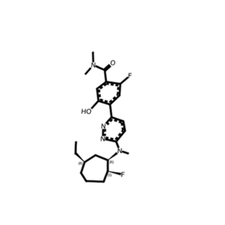 CC[C@@H]1CCC[C@H](F)[C@H](N(C)c2ccc(-c3cc(F)c(C(=O)N(C)C)cc3O)nn2)C1